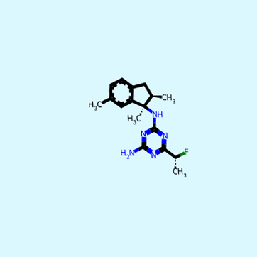 Cc1ccc2c(c1)[C@](C)(Nc1nc(N)nc([C@@H](C)F)n1)[C@H](C)C2